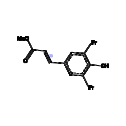 COC(=O)/C=C/c1cc(C(C)C)c(O)c(C(C)C)c1